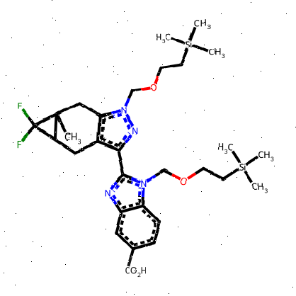 CC12Cc3c(c(-c4nc5cc(C(=O)O)ccc5n4COCC[Si](C)(C)C)nn3COCC[Si](C)(C)C)CC1C2(F)F